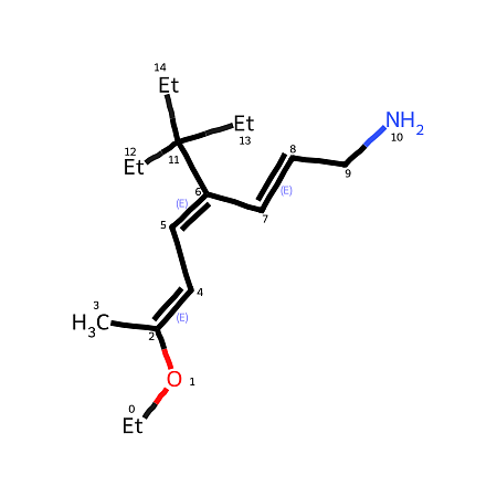 CCO/C(C)=C/C=C(\C=C\CN)C(CC)(CC)CC